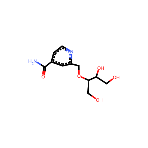 NC(=O)c1ccnc(CO[C@H](CO)C(O)CO)c1